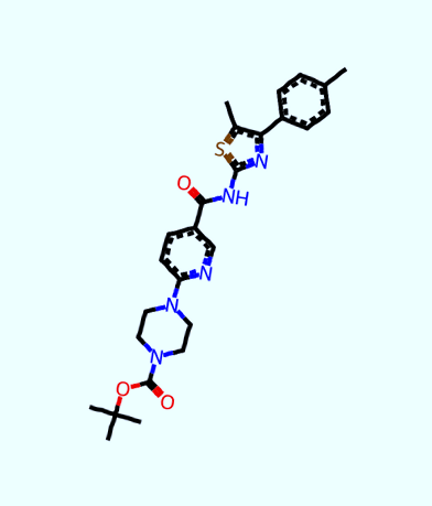 Cc1ccc(-c2nc(NC(=O)c3ccc(N4CCN(C(=O)OC(C)(C)C)CC4)nc3)sc2C)cc1